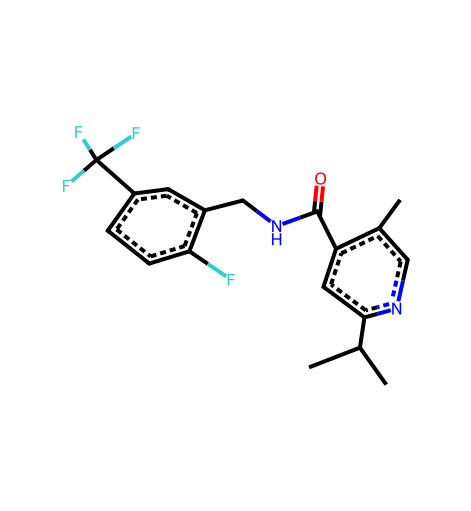 Cc1cnc(C(C)C)cc1C(=O)NCc1cc(C(F)(F)F)ccc1F